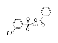 O=C(ONS(=O)(=O)c1cccc(C(F)(F)F)c1)c1ccccc1